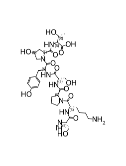 C[C@@H](O)[C@H](NC(=O)[C@@H]1C[C@@H](O)CN1C(=O)[C@H](Cc1ccc(O)cc1)NC(=O)[C@H](CO)NC(=O)[C@@H]1CCCN1C(=O)[C@H](CCCCN)NC(=O)[C@H](CO)NI)C(=O)O